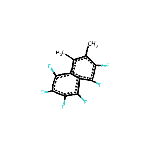 Cc1c(F)c(F)c2c(F)c(F)c(F)c(F)c2c1C